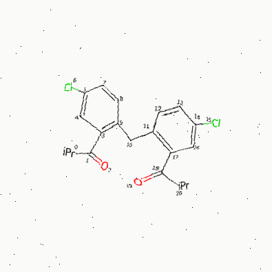 CC(C)C(=O)c1cc(Cl)ccc1Cc1ccc(Cl)cc1C(=O)C(C)C